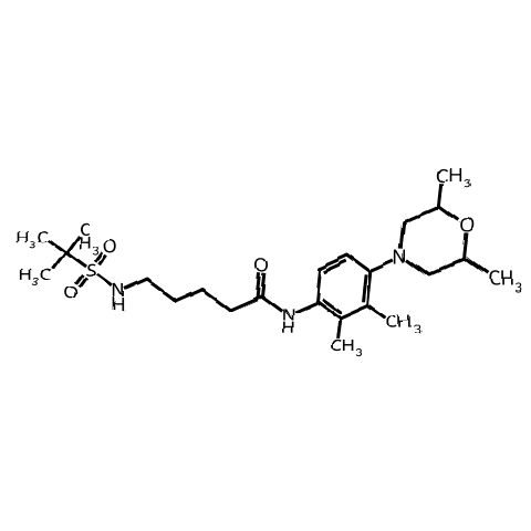 Cc1c(NC(=O)CCCCNS(=O)(=O)C(C)(C)C)ccc(N2CC(C)OC(C)C2)c1C